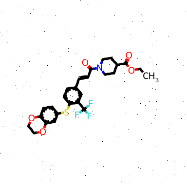 CCOC(=O)C1CCN(C(=O)C=Cc2ccc(Sc3ccc4c(c3)OCCO4)c(C(F)(F)F)c2)CC1